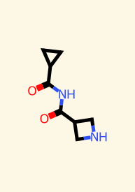 O=C(NC(=O)C1CNC1)C1CC1